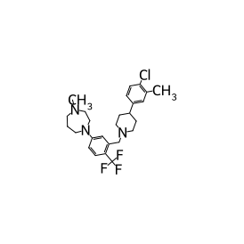 Cc1cc(C2CCN(Cc3cc(N4CCCN(C)CC4)ccc3C(F)(F)F)CC2)ccc1Cl